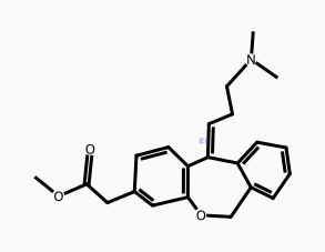 COC(=O)Cc1ccc2c(c1)OCc1ccccc1/C2=C\CCN(C)C